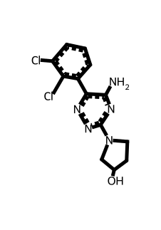 Nc1nc(N2CCC(O)C2)nnc1-c1cccc(Cl)c1Cl